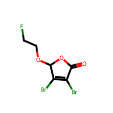 O=C1OC(OCCF)C(Br)=C1Br